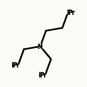 CC(C)CCN(CC(C)C)CC(C)C